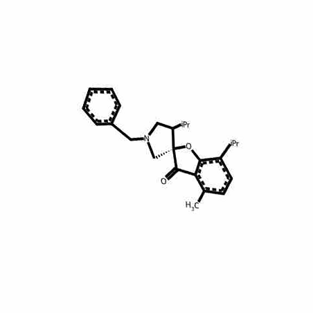 Cc1ccc(C(C)C)c2c1C(=O)[C@]1(CN(Cc3ccccc3)CC1C(C)C)O2